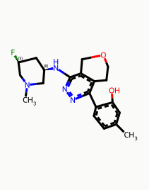 Cc1ccc(-c2nnc(N[C@@H]3C[C@H](F)CN(C)C3)c3c2CCOC3)c(O)c1